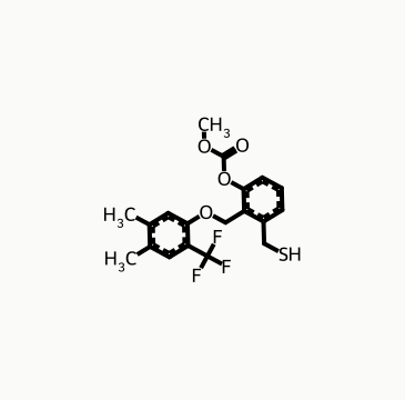 COC(=O)Oc1cccc(CS)c1COc1cc(C)c(C)cc1C(F)(F)F